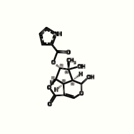 C[C@]1(O)[C@@H](OC(=O)c2ccc[nH]2)[C@H]2OC(=O)C3=COC(O)[C@H]1[C@@H]32